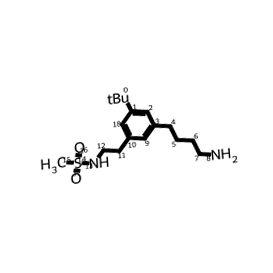 CC(C)(C)c1cc(CCCCN)cc(CCNS(C)(=O)=O)c1